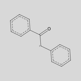 O=C([C]c1ccccc1)c1ccccc1